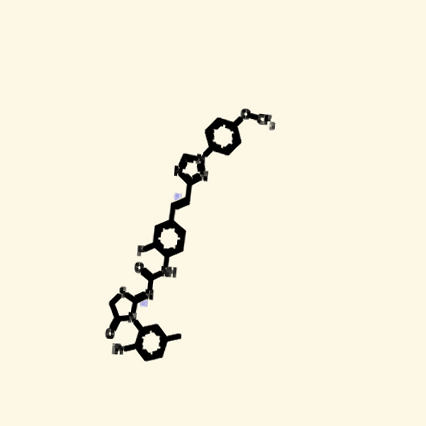 Cc1ccc(C(C)C)c(N2C(=O)CS/C2=N\C(=O)Nc2ccc(/C=C/c3ncn(-c4ccc(OC(F)(F)F)cc4)n3)cc2F)c1